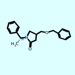 C[C@H](c1ccccc1)N1CC(COCc2ccccc2)CC1=O